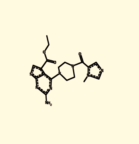 CCOC(=O)c1csc2nc(N)nc(N3CCN(C(=O)c4cncn4C)CC3)c12